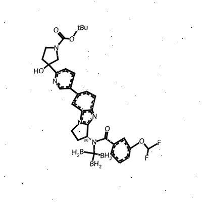 BC(B)(B)N(C(=O)c1cccc(OC(F)F)c1)[C@@H]1CCn2c1nc1ccc(-c3ccc(C4(O)CCN(C(=O)OC(C)(C)C)C4)nc3)cc12